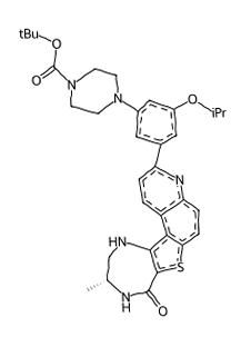 CC(C)Oc1cc(-c2ccc3c(ccc4sc5c(c43)NC[C@@H](C)NC5=O)n2)cc(N2CCN(C(=O)OC(C)(C)C)CC2)c1